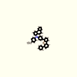 CC(C)(C)c1ccc(N(c2ccc(-c3cccc4c3sc3c(-c5ccccc5)cccc34)cc2)c2cccc3c2ccc2ccccc23)cc1